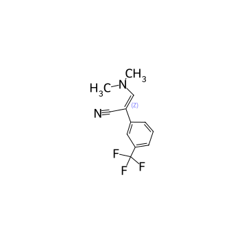 CN(C)/C=C(\C#N)c1cccc(C(F)(F)F)c1